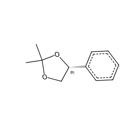 CC1(C)OC[C@@H](c2ccccc2)O1